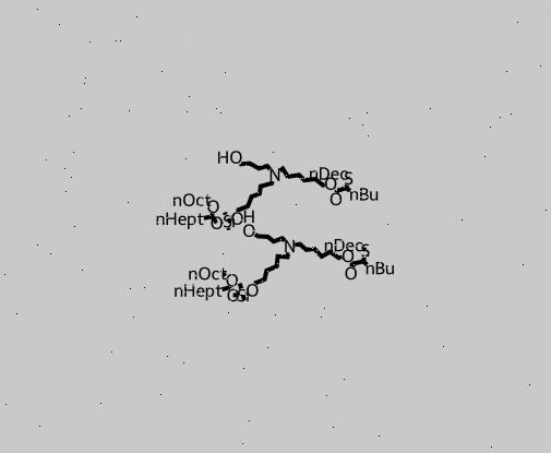 CCCCCCCCCCSC(CCCC)C(=O)OCCCCCCN(CCCCO)CCCCCCO[Si](C)(C)OC(CCCCCCC)OCCCCCCCC.CCCCCCCCCCSC(CCCC)C(=O)OCCCCCCN(CCCCO)CCCCCCO[Si](C)(C)OC(CCCCCCC)OCCCCCCCC